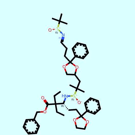 CCC(CC)(C(=O)OCc1ccccc1)[C@@H](CCC1(c2ccccc2)OCCO1)N[S@+]([O-])C(C)(C)CC1COC(CC/C=N/[S@+]([O-])C(C)(C)C)(c2ccccc2)O1